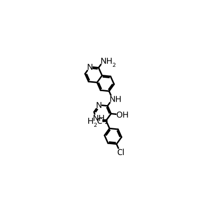 C=C(/C(O)=C(\N=C/N)Nc1ccc2c(N)nccc2c1)c1ccc(Cl)cc1